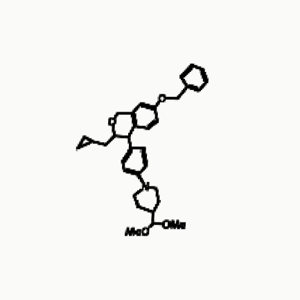 COC(OC)C1CCN(c2ccc(C3c4ccc(OCc5ccccc5)cc4COC3CC3CC3)cc2)CC1